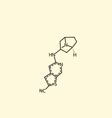 CN1C2CC[C@H]1CC(Nc1cc3cc(C#N)sc3cn1)C2